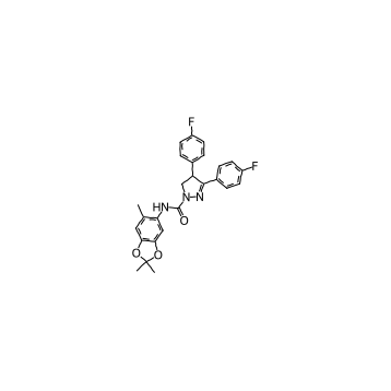 Cc1cc2c(cc1NC(=O)N1CC(c3ccc(F)cc3)C(c3ccc(F)cc3)=N1)OC(C)(C)O2